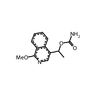 COc1ncc(C(C)OC(N)=O)c2ccccc12